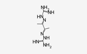 CC(=N\NC(=N)N)/C(C)=N/NC(=N)N